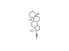 CC#C[C@]1(O)CCC2C3CC[C@H]4CCCC[C@@H]4C3CC[C@@]21C